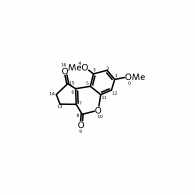 COc1cc(OC)c2c3c(c(=O)oc2c1)CCC3=O